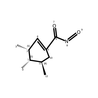 C[C@@H]1[C@H](C)C=C(C(=O)N=O)C[C@H]1C